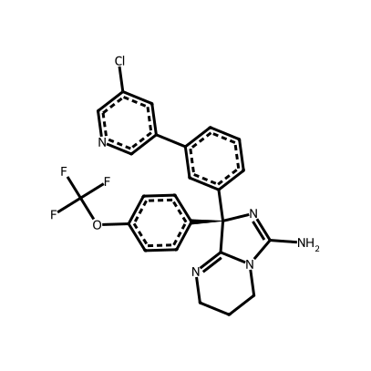 NC1=N[C@@](c2ccc(OC(F)(F)F)cc2)(c2cccc(-c3cncc(Cl)c3)c2)C2=NCCCN12